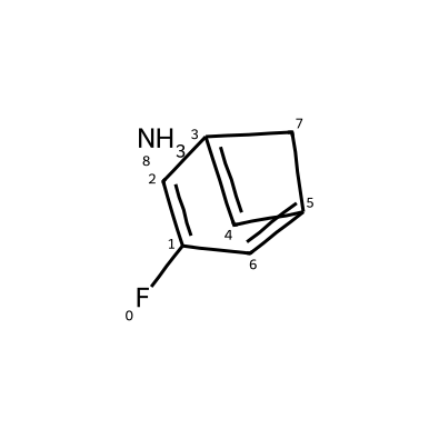 Fc1cc2cc(c1)C2.N